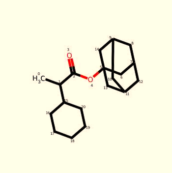 CC(C(=O)OC12CC3CC(CC(C3)C1)C2)C1CCCCC1